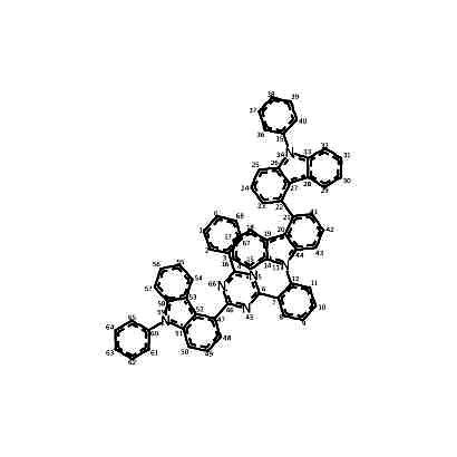 c1ccc(-c2nc(-c3ccccc3-n3c4ccccc4c4c(-c5cccc6c5c5ccccc5n6-c5ccccc5)cccc43)nc(-c3cccc4c3c3ccccc3n4-c3ccccc3)n2)cc1